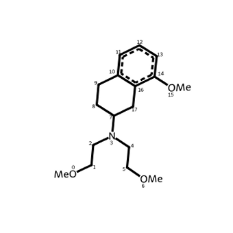 COCCN(CCOC)C1CCc2cccc(OC)c2C1